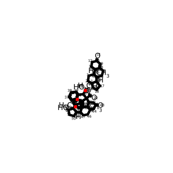 C[C@]12CC[C@H]3[C@@H](CCC4=CC(=O)CC[C@@]43C)[C@@H]1CC[C@@H]2OC(=O)C(c1ccccc1)(C(C(=O)O)c1ccccc1)C1CC(=O)C=C2CC[C@H]3[C@@H]4CC[C@H](O)[C@@]4(C)CC[C@@H]3[C@]21C